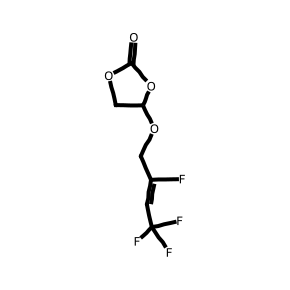 O=C1OCC(OCC(F)=CC(F)(F)F)O1